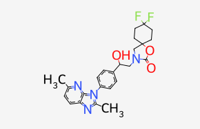 Cc1ccc2nc(C)n(-c3ccc(C(O)CN4CC5(CCC(F)(F)CC5)OC4=O)cc3)c2n1